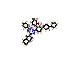 C1=C(c2ccc(-c3ccccc3)cc2)C2Oc3ccccc3C2C(c2nc(-c3ccccc3)nc(-c3ccc4ccccc4c3)n2)=C1